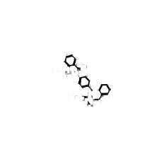 CCCSc1nnc(C(S)c2ccccc2)n1Cc1ccc(NC(=O)c2ccccc2C(=O)O)cc1